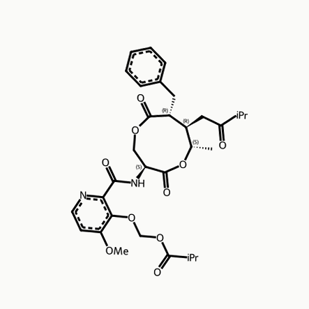 COc1ccnc(C(=O)N[C@H]2COC(=O)[C@H](Cc3ccccc3)[C@@H](CC(=O)C(C)C)[C@H](C)OC2=O)c1OCOC(=O)C(C)C